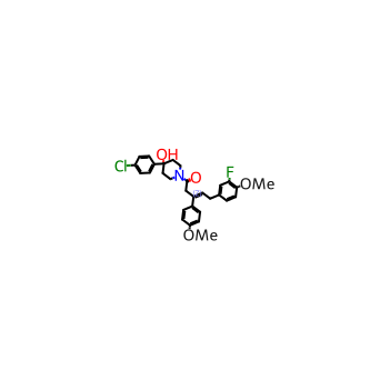 COc1ccc(/C(=C\Cc2ccc(OC)c(F)c2)CC(=O)N2CCC(O)(c3ccc(Cl)cc3)CC2)cc1